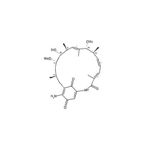 CO[C@H]1C[C@H](C)CC2=C(N)C(=O)C=C(NC(=O)/C(C)=C/C=C\[C@H](C)[C@@H](OC(C)=O)/C(C)=C/[C@H](C)[C@H]1O)C2=O